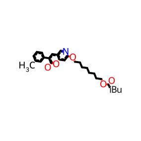 CCC(C)C(=O)OCCCCCCCCOc1cc2oc(=O)c(-c3cccc(C)c3)cc2cn1